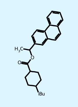 CCC(C)C1CCC(C(=O)OC(C)c2ccc3c(ccc4ccccc43)c2)CC1